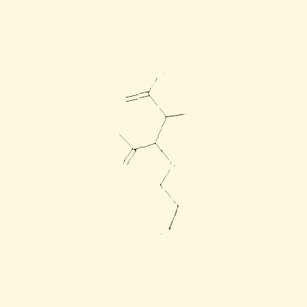 O=C(O)C(O)C(NCCO)C(=O)O